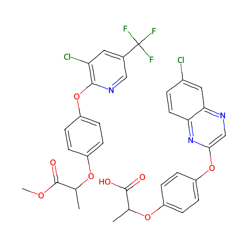 CC(Oc1ccc(Oc2cnc3cc(Cl)ccc3n2)cc1)C(=O)O.COC(=O)C(C)Oc1ccc(Oc2ncc(C(F)(F)F)cc2Cl)cc1